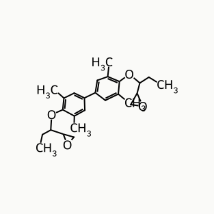 CCC(Oc1c(C)cc(-c2cc(C)c(OC(CC)C3CO3)c(C)c2)cc1C)C1CO1